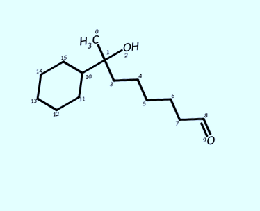 CC(O)(CCCCCC=O)C1CCCCC1